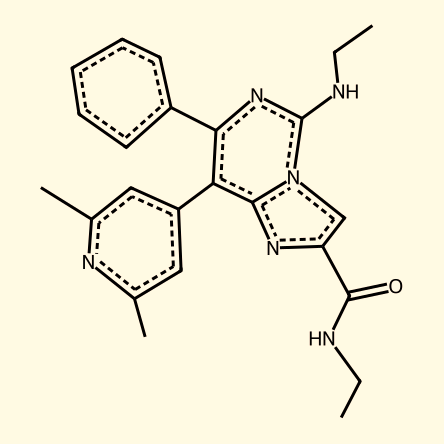 CCNC(=O)c1cn2c(NCC)nc(-c3ccccc3)c(-c3cc(C)nc(C)c3)c2n1